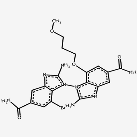 COCCCOc1cc(C(N)=O)cc2nc(N)n(-n3c(N)nc4cc(C(N)=O)cc(Br)c43)c12